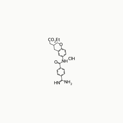 CCOC(=O)CC1COc2ccc(NC(=O)c3ccc(C(=N)N)cc3)cc2C1.Cl